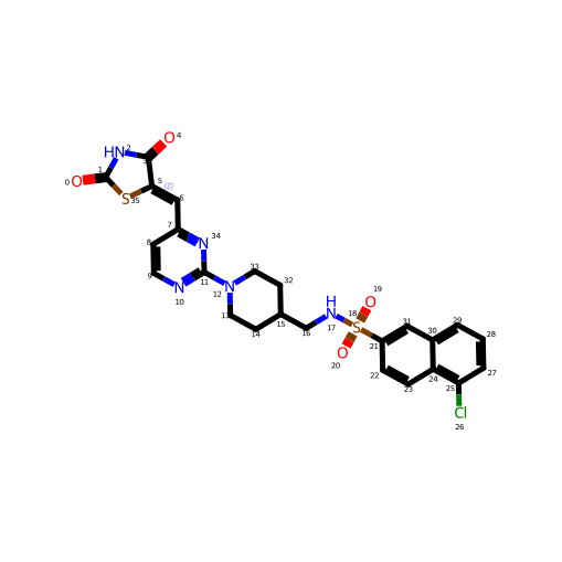 O=C1NC(=O)/C(=C/c2ccnc(N3CCC(CNS(=O)(=O)c4ccc5c(Cl)cccc5c4)CC3)n2)S1